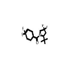 CC(C)(C)C1CC(F)(F)CN1C(=O)C1CCC(F)(F)CC1